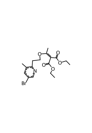 CCOC(=O)C(C(=O)OCC)=C(C)OCCc1ncc(Br)cc1C